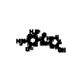 Nc1nc(N)c(C(=O)NC2=NC(O)=NCN2)nc1Cl